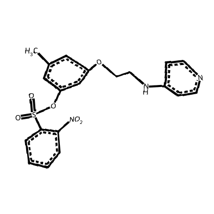 Cc1cc(OCCNc2ccncc2)cc(OS(=O)(=O)c2ccccc2[N+](=O)[O-])c1